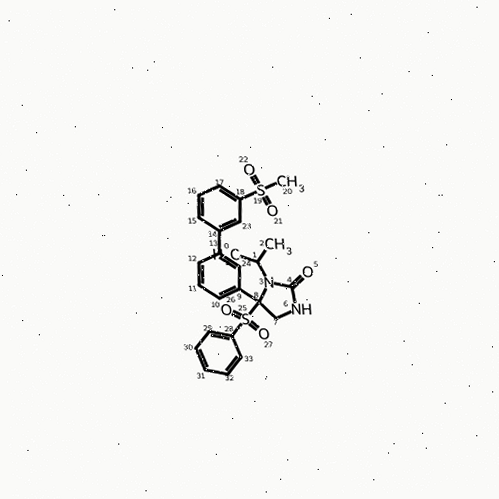 CC(C)N1C(=O)NCC1(c1cccc(-c2cccc(S(C)(=O)=O)c2)c1)S(=O)(=O)c1ccccc1